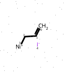 C=C[CH2][Ni+].[I-]